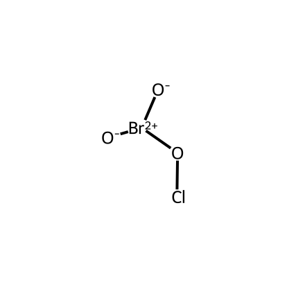 [O-][Br+2]([O-])OCl